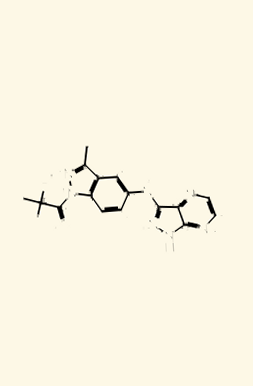 Cc1nn(C(=O)C(C)(F)F)c2ccc(Nc3n[nH]c4nccnc34)cc12